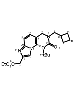 CCOC(=O)Cc1cn2cc(CN(CC3CCC3)C(=O)OC(C)(C)C)ccc2n1